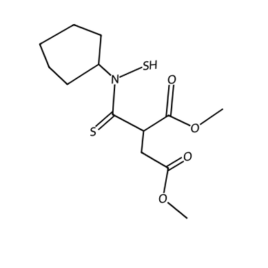 COC(=O)CC(C(=O)OC)C(=S)N(S)C1CCCCC1